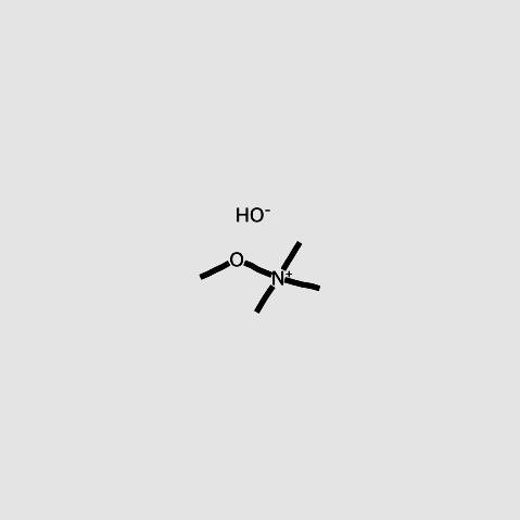 CO[N+](C)(C)C.[OH-]